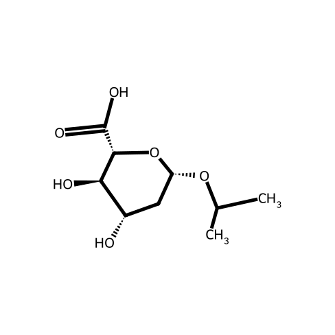 CC(C)O[C@@H]1C[C@H](O)[C@@H](O)[C@H](C(=O)O)O1